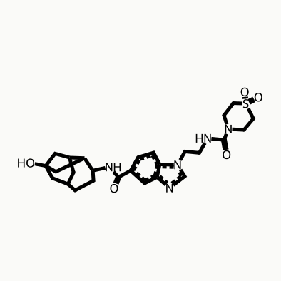 O=C(NC1CCC2CC3CC(O)(C2)CC31)c1ccc2c(c1)ncn2CCNC(=O)N1CCS(=O)(=O)CC1